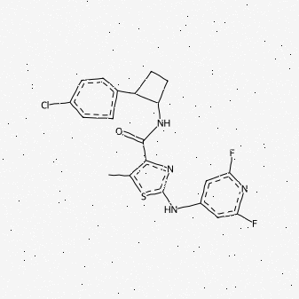 Cc1sc(Nc2cc(F)nc(F)c2)nc1C(=O)NC1CCC1c1ccc(Cl)cc1